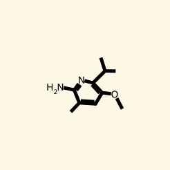 COc1cc(C)c(N)nc1C(C)C